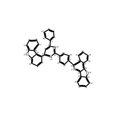 c1ccc(-c2cc(-c3cccc4oc5ccccc5c34)nc(-c3ccc(-c4nc5c6ccccc6oc5c5ccccc45)cc3)n2)cc1